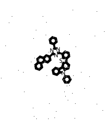 c1ccc(-c2nc(-c3ccc4c(ccc5ccccc54)c3)nc(-c3cccc4c3sc3c4ccc4c3c3ccccc3n4-c3ccccc3)n2)cc1